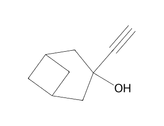 C#CC1(O)CC2CC(C2)C1